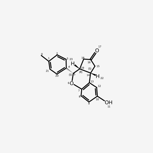 Cc1ccc([C@H]2Oc3ccc(O)cc3[C@H]3CC(=O)C[C@H]32)cc1